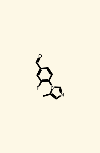 Cc1cncn1-c1ccc(C=O)cc1F